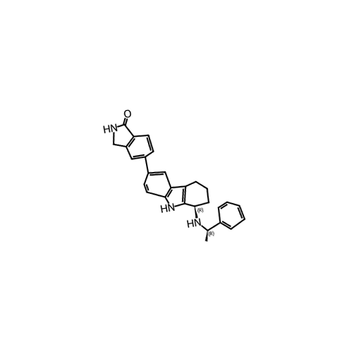 C[C@@H](N[C@@H]1CCCc2c1[nH]c1ccc(-c3ccc4c(c3)CNC4=O)cc21)c1ccccc1